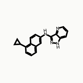 c1cc(C2CC2)c2ccc(Nc3n[nH]c4cccnc34)cc2c1